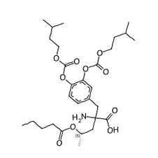 CCCCC(=O)O[C@@H](C)CC(N)(Cc1ccc(OC(=O)OCCC(C)C)c(OC(=O)OCCC(C)C)c1)C(=O)O